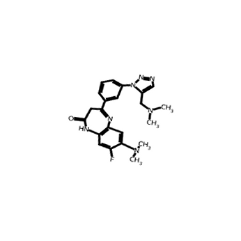 CN(C)Cc1cnnn1-c1cccc(C2=Nc3cc(N(C)C)c(F)cc3NC(=O)C2)c1